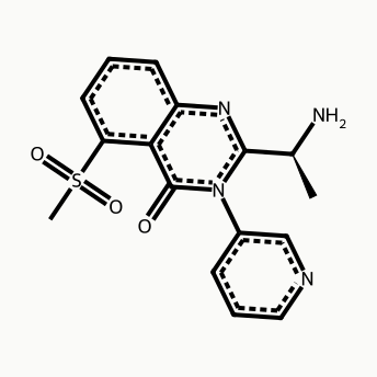 C[C@H](N)c1nc2cccc(S(C)(=O)=O)c2c(=O)n1-c1cccnc1